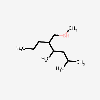 CBCC(CCC)C(C)CC(C)C